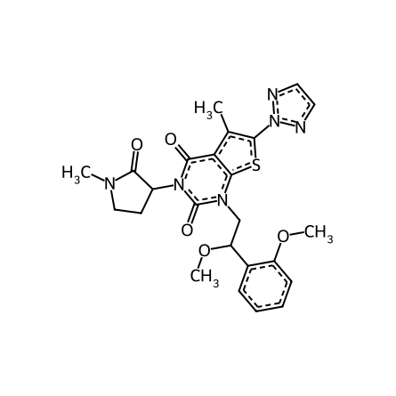 COc1ccccc1C(Cn1c(=O)n(C2CCN(C)C2=O)c(=O)c2c(C)c(-n3nccn3)sc21)OC